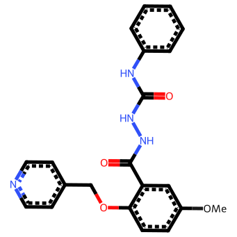 COc1ccc(OCc2ccncc2)c(C(=O)NNC(=O)Nc2ccccc2)c1